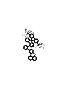 CC(C)(C)c1ccc2c(c1)C1(c3cc(C(C)(C)C)ccc3-2)c2ccccc2-c2c(-c3ccccc3-c3ccc4c(c3)-c3cccc5cccc(c35)S4)cccc21